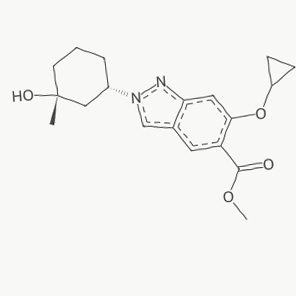 COC(=O)c1cc2cn([C@H]3CCC[C@@](C)(O)C3)nc2cc1OC1CC1